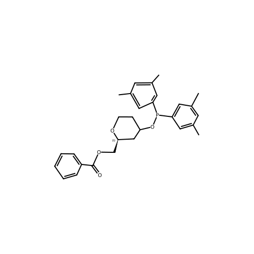 Cc1cc(C)cc(P(OC2CCO[C@H](COC(=O)c3ccccc3)C2)c2cc(C)cc(C)c2)c1